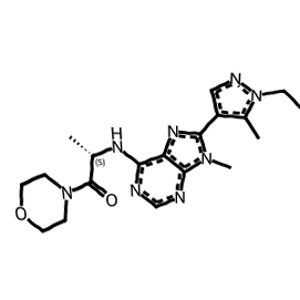 CCn1ncc(-c2nc3c(N[C@@H](C)C(=O)N4CCOCC4)ncnc3n2C)c1C